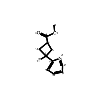 COC(=O)C1CC(F)(c2ccccn2)C1